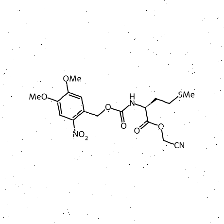 COc1cc(COC(=O)N[C@@H](CCSC)C(=O)OCC#N)c([N+](=O)[O-])cc1OC